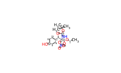 CCOC(=O)C(Cc1ccc(O)cc1)(NC(=O)OC(C)(C)C)O[N+](=O)[O-]